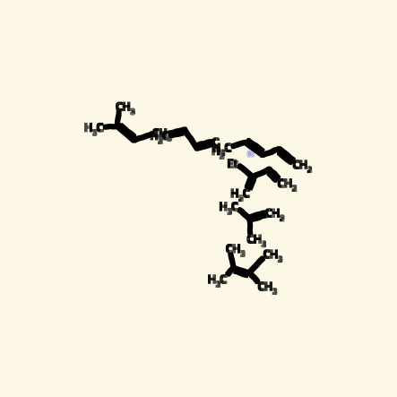 C=C(C)C.C=C/C=C/C.C=CC(=C)CC.C=CC=C.CC(C)=C(C)C.CC=C(C)C